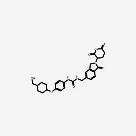 O=C1CCC(N2Cc3cc(CNC(=O)Nc4ccc(OC5CCC(CO)CC5)cc4)ccc3C2=O)C(=O)N1